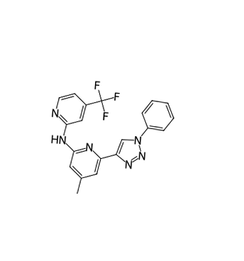 Cc1cc(Nc2cc(C(F)(F)F)ccn2)nc(-c2cn(-c3ccccc3)nn2)c1